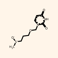 C[S+]([O-])CCCOCn1ccc(=O)[nH]c1=O